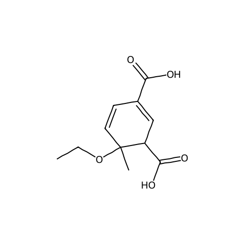 CCOC1(C)C=CC(C(=O)O)=CC1C(=O)O